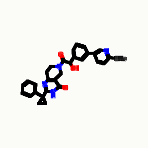 COc1ccc(-c2cccc(C(O)C(=O)N3CCc4nc(C5(c6ccccc6)CC5)[nH]c(=O)c4C3)c2)cn1